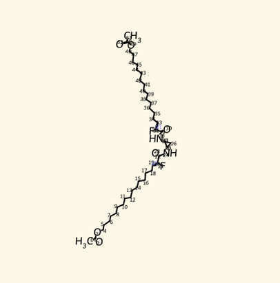 CC(=O)OCCCCCCCCCCCCCCC/C=C(\F)C(=O)N[C@H]1C[C@H]1NC(=O)/C(F)=C/CCCCCCCCCCCCCCCOC(C)=O